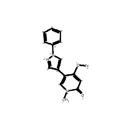 CCOc1cc(=O)n(C)cc1-c1cnn(-c2ccccc2)c1